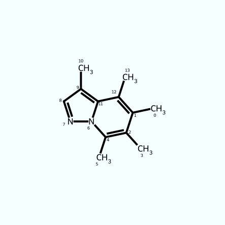 Cc1c(C)c(C)n2ncc(C)c2c1C